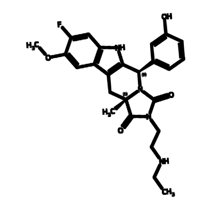 CCNCCN1C(=O)N2[C@H](c3cccc(O)c3)c3[nH]c4cc(F)c(OC)cc4c3C[C@@]2(C)C1=O